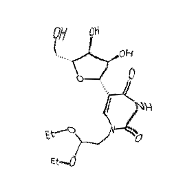 CCOC(Cn1cc([C@@H]2O[C@H](CO)[C@@H](O)[C@H]2O)c(=O)[nH]c1=O)OCC